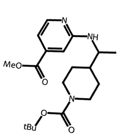 COC(=O)c1ccnc(NC(C)C2CCN(C(=O)OC(C)(C)C)CC2)c1